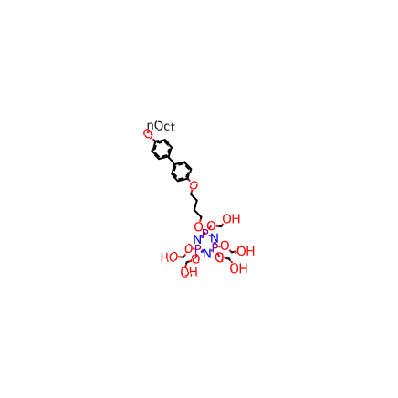 CCCCCCCCOc1ccc(-c2ccc(OCCCCOP3(OCO)=NP(OCO)(OCO)=NP(OCO)(OCO)=N3)cc2)cc1